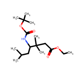 CCOC(=O)CC(C)(C)C(C[C](C)C)NC(=O)OC(C)(C)C